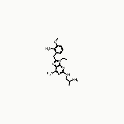 CCn1c(Cc2cccc(OC)c2N)nc2c(N)nc(NCC(C)N)nc21